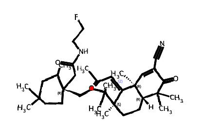 CC(=O)/C=C1/[C@@]2(C)C=C(C#N)C(=O)C(C)(C)[C@@H]2CC[C@@]1(C)C(C)(C)CC[C@@]1(CC(=O)NCCF)CCC(C)(C)CC1C